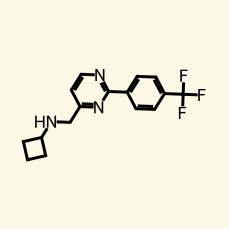 FC(F)(F)c1ccc(-c2nccc(CNC3CCC3)n2)cc1